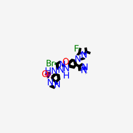 COc1cc(N2CCN(C(C)C)C(CF)C2)c(-c2cnn(C)c2)cc1Nc1ncc(Br)c(Nc2ccc3nccnc3c2P(C)(C)=O)n1